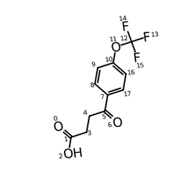 O=C(O)CCC(=O)c1ccc(OC(F)(F)F)cc1